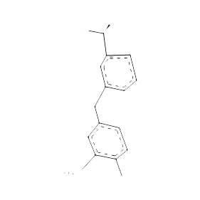 COc1cc(Cc2cccc([C@@H](O)C(=O)O)c2)ccc1O